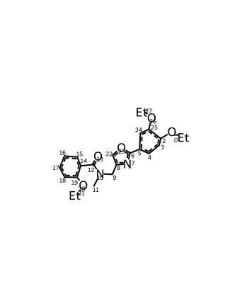 CCOc1ccc(-c2nc(CN(C)C(=O)c3ccccc3OCC)co2)cc1OCC